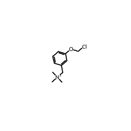 C[N+](C)(C)Cc1cccc(OCCl)c1